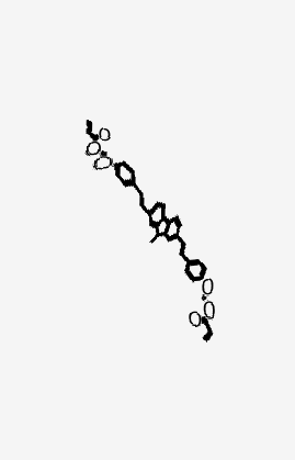 C=CC(=O)OCOc1ccc(CCc2ccc3c(c2)C(C)c2cc(CCc4ccc(OCOC(=O)C=C)cc4)ccc2-3)cc1